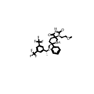 COCCN1C(=O)NC(=O)C12CC[C@@](CO[C@H](C)c1cc(C(F)(F)F)cc(C(F)(F)F)c1)(c1ccccc1)NC2